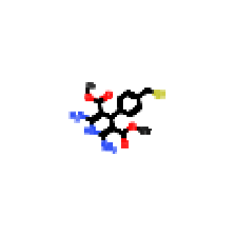 CC(C)OC(=O)C1=C(N)NC(N)=C(C(=O)OC(C)C)C1c1ccc(CS)cc1